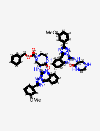 COc1cccc(-c2nc3c4ccccc4nc(NC4CN(C(=O)OCc5ccccc5)CCNC4=O)n3n2)c1.COc1cccc(-c2nc3c4ccccc4nc(NC4CNCCNC4=O)n3n2)c1